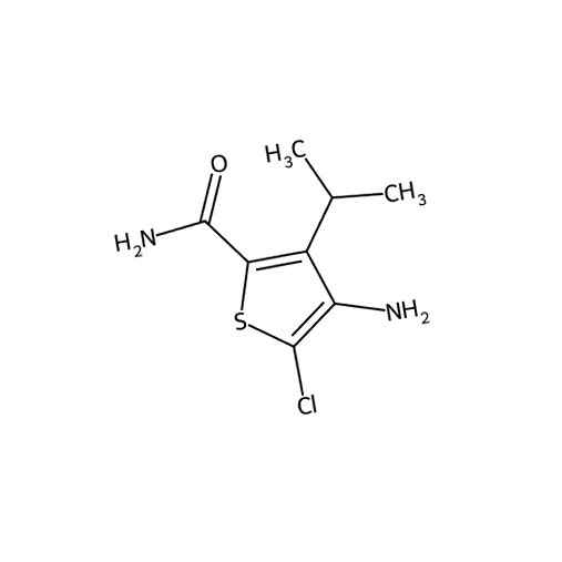 CC(C)c1c(C(N)=O)sc(Cl)c1N